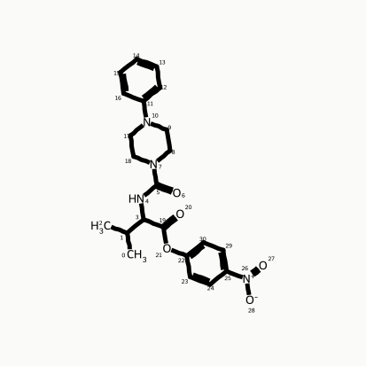 CC(C)C(NC(=O)N1CCN(c2ccccc2)CC1)C(=O)Oc1ccc([N+](=O)[O-])cc1